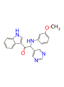 COc1cccc(NC(C(=O)c2c[nH]c3ccccc23)c2cncnc2)c1